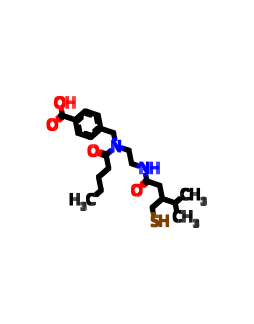 CCCCC(=O)N(CCNC(=O)CC(CS)C(C)C)Cc1ccc(C(=O)O)cc1